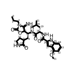 CCCN1C(=N)C([C@H](CC2CCNC2=O)NC(=O)[C@H](CC(C)C)NC(=O)c2cc3c(OC)cccc3[nH]2)OC1=O